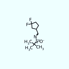 CC(C)(C)[S@+]([O-])N=CC1CCC(F)(F)C1